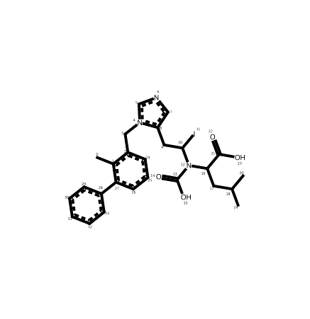 Cc1c(Cn2cncc2CC(I)N(C(=O)O)C(CC(C)C)C(=O)O)cccc1-c1ccccc1